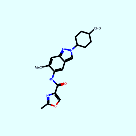 COc1cc2nn(C3CCC(C=O)CC3)cc2cc1NC(=O)c1coc(C)n1